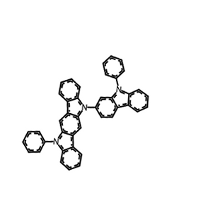 c1ccc(-n2c3ccccc3c3ccc(-n4c5ccccc5c5cc6c(cc54)c4ccccc4n6-c4ccccc4)cc32)cc1